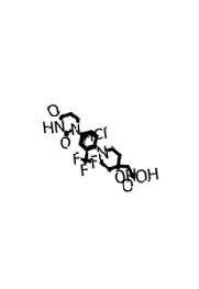 Cl.O=C(O)CC1(O)CCN(c2ccc(N3CCC(=O)NC3=O)cc2C(F)(F)F)CC1